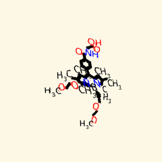 CCC1=C(C)/C(=C(\c2ccc(C(=O)NCC(=O)O)cc2)c2c(C)c(CC)c(C)n2B(C#CCOCCOC)C#CCOCCOC)N=C1C